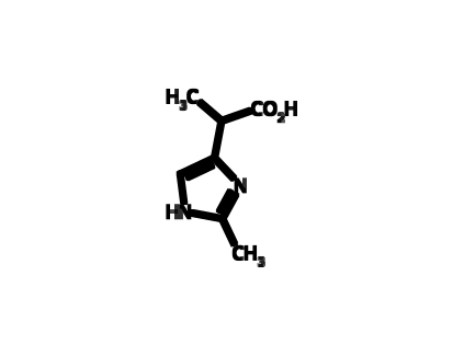 Cc1nc(C(C)C(=O)O)c[nH]1